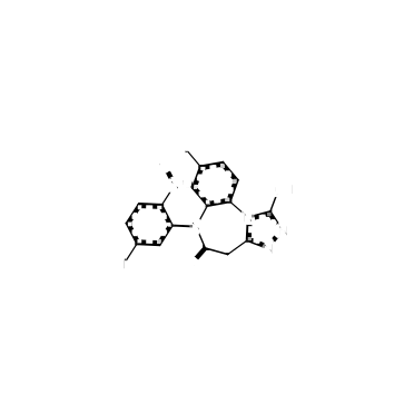 Cc1nnc2n1-c1ccc(Cl)cc1N(c1cc(Cl)ccc1[N+](=O)[O-])C(=O)C2